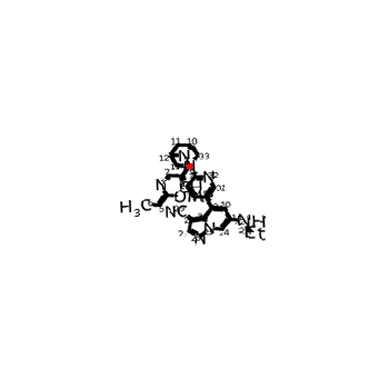 C=C(/C=N\C(=C/C)OC)CN1C2CC1CN(c1ccc(-c3cc(NCC)cn4ncc(C#N)c34)cn1)C2